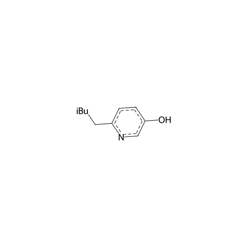 CCC(C)Cc1ccc(O)cn1